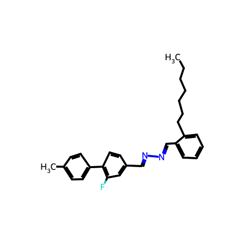 CCCCCCCc1ccccc1C=NN=Cc1ccc(-c2ccc(C)cc2)c(F)c1